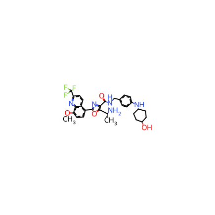 COc1ccc(-c2nc(C(=O)NCc3ccc(N[C@H]4CC[C@H](O)CC4)cc3)c([C@H](C)N)o2)c2ccc(C(F)(F)F)nc12